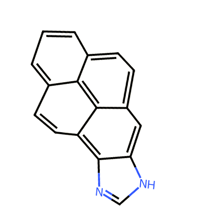 c1cc2ccc3cc4[nH]cnc4c4ccc(c1)c2c34